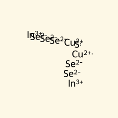 [Cu+2].[Cu+2].[In+3].[In+3].[S].[Se-2].[Se-2].[Se-2].[Se-2].[Se-2]